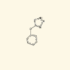 [c]1ccc(Oc2c[nH]nn2)cc1